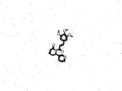 COc1cc(C=CC(=O)N2C(=O)C=CCC2c2cccnc2)cc(OC)c1OC